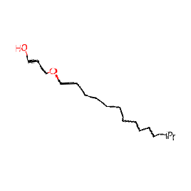 CC(C)CCCCCCCCCCCOCCCO